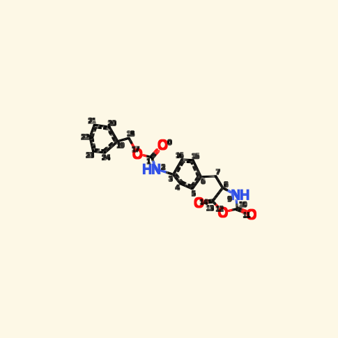 O=C(Nc1ccc(CC2NC(=O)OC2=O)cc1)OCc1ccccc1